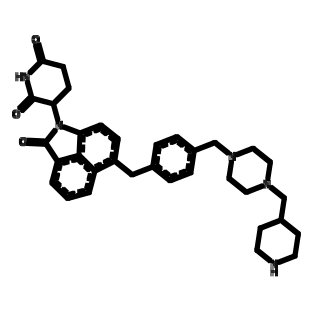 O=C1CCC(N2C(=O)c3cccc4c(Cc5ccc(CN6CCN(CC7CCNCC7)CC6)cc5)ccc2c34)C(=O)N1